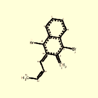 C=c1c(Br)c2ccccc2c(Br)/c1=C/C=C\C